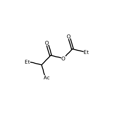 CCC(=O)OC(=O)C(CC)C(C)=O